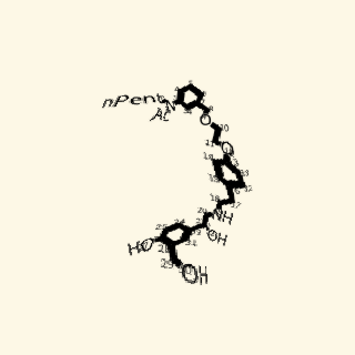 CCCCCN(C(C)=O)c1cccc(COCCOc2ccc(CCNC[C@@H](O)c3ccc(O)c(CO)c3)cc2)c1